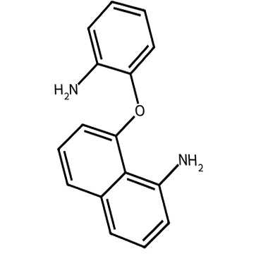 Nc1ccccc1Oc1cccc2cccc(N)c12